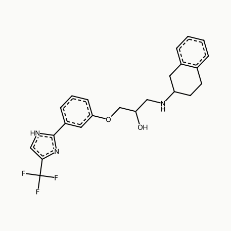 OC(CNC1CCc2ccccc2C1)COc1cccc(-c2nc(C(F)(F)F)c[nH]2)c1